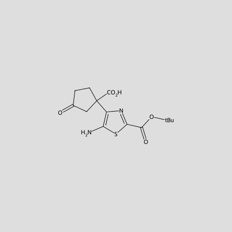 CC(C)(C)OC(=O)c1nc(C2(C(=O)O)CCC(=O)C2)c(N)s1